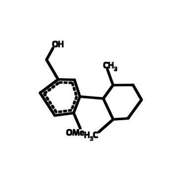 COc1ccc(CO)cc1C1C(C)CCCC1C